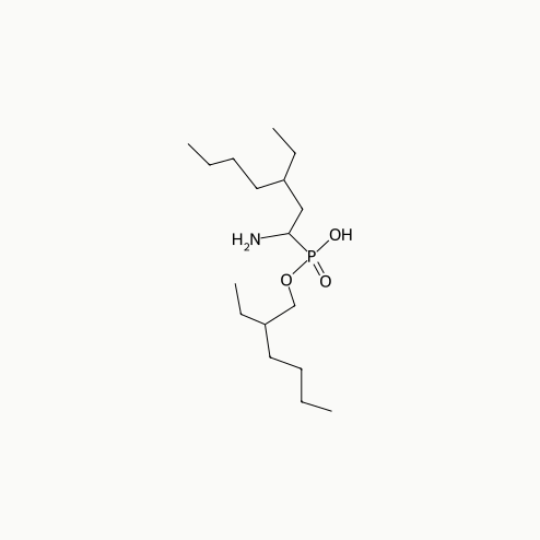 CCCCC(CC)COP(=O)(O)C(N)CC(CC)CCCC